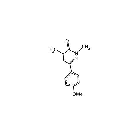 COc1ccc(C2=NN(C)C(=O)C(C(F)(F)F)C2)cc1